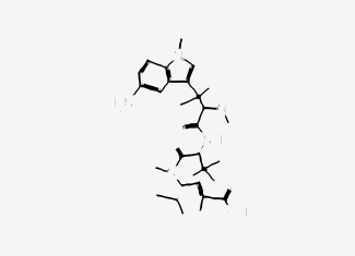 CNC(C(=O)N[C@H](C(=O)N(C)[C@H](/C=C(\C)C(=O)O)C(C)C)C(C)(C)C)C(C)(C)c1cn(C)c2ccc(N)cc12